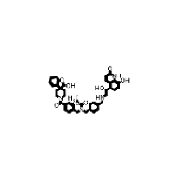 COC(=O)N(Cc1ccc(CNC[C@H](O)c2ccc(O)c3[nH]c(=O)ccc23)cc1)Cc1ccc(C(=O)N2CCC(C(=O)O)(c3ccccc3)CC2)cc1